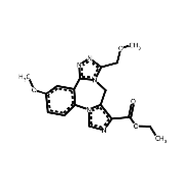 CCOC(=O)c1ncn2c1Cn1c(COC)nnc1-c1cc(OC)ccc1-2